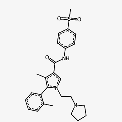 Cc1ccccc1-c1c(C)c(C(=O)Nc2ccc(S(C)(=O)=O)cc2)cn1CCN1CCCC1